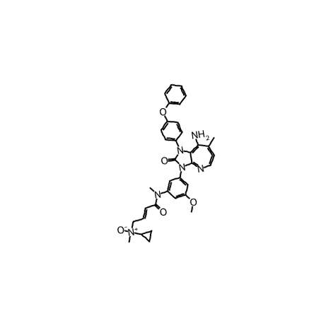 COc1cc(N(C)C(=O)/C=C/C[N+](C)([O-])C2CC2)cc(-n2c3c(n(-c4ccc(Oc5ccccc5)cc4)c2=O)=C(N)C(C)=C=CN=3)c1